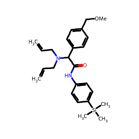 C=CCN(CC=C)C(C(=O)Nc1ccc([Si](C)(C)C)cc1)c1ccc(COC)cc1